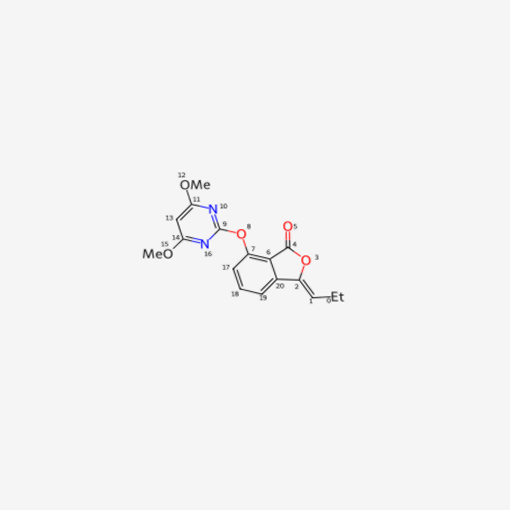 CCC=C1OC(=O)c2c(Oc3nc(OC)cc(OC)n3)cccc21